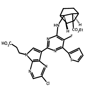 CCOC(=O)[C@@H]1C2CCC(CC2)[C@H]1Nc1nc(-c2cn(CCC(=O)O)c3ncc(Cl)nc23)nc(-c2cccs2)c1F